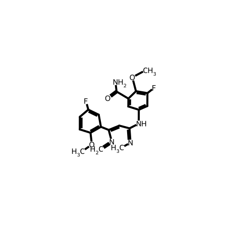 C=N/C(=C\C(=N/C)Nc1cc(F)c(OC)c(C(N)=O)c1)c1cc(F)ccc1OC